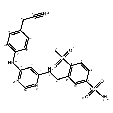 CS(=O)(=O)c1ccc(S(N)(=O)=O)cc1CNc1cc(Nc2ccc(CC#N)cc2)ncn1